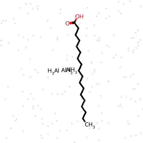 CCCCCCCCCCCCCCCCCC(=O)O.[AlH3].[AlH3].[AlH3]